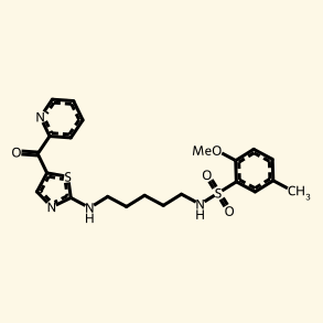 COc1ccc(C)cc1S(=O)(=O)NCCCCCNc1ncc(C(=O)c2ccccn2)s1